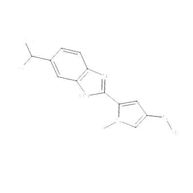 Cn1cc(NC(C)(C)C)cc1-c1nc2ccc(C(O)C(C)(C)C)cc2[nH]1